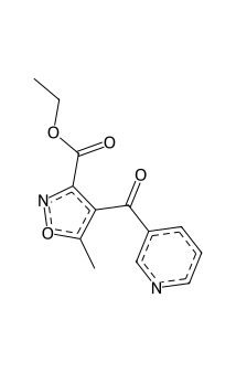 CCOC(=O)c1noc(C)c1C(=O)c1cccnc1